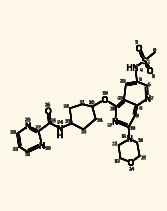 CS(=O)(=O)Nc1cnc2cc(N3CCOCC3)nc(OC3CCC(NC(=O)c4ncccn4)CC3)c2c1